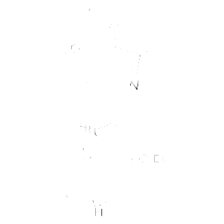 CCOC(=O)C1CNCCC1NCc1cc2c(cn1)OCCO2